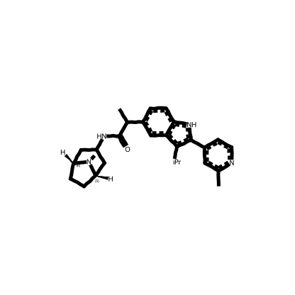 Cc1cc(-c2[nH]c3ccc(C(C)C(=O)NC4C[C@H]5CC[C@@H](C4)N5C)cc3c2C(C)C)ccn1